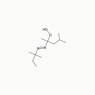 CCC(C)(C)/N=N/C(C)(CC(C)C)OO